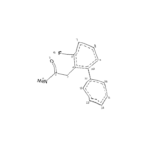 CNC(=O)Cc1c(F)cccc1-c1ccccc1